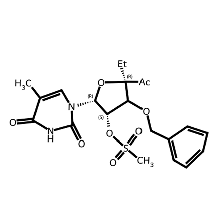 CC[C@@]1(C(C)=O)O[C@@H](n2cc(C)c(=O)[nH]c2=O)[C@@H](OS(C)(=O)=O)C1OCc1ccccc1